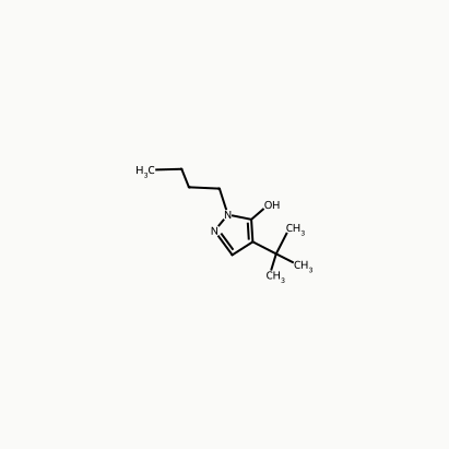 CCCCn1ncc(C(C)(C)C)c1O